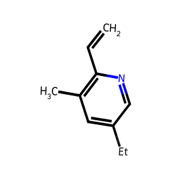 C=Cc1ncc(CC)cc1C